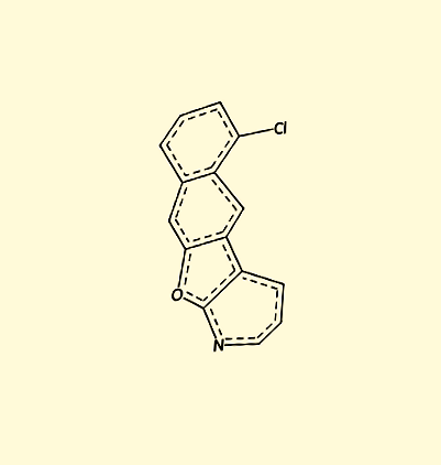 Clc1cccc2cc3oc4ncccc4c3cc12